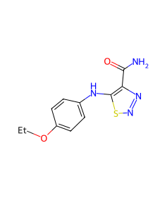 CCOc1ccc(Nc2snnc2C(N)=O)cc1